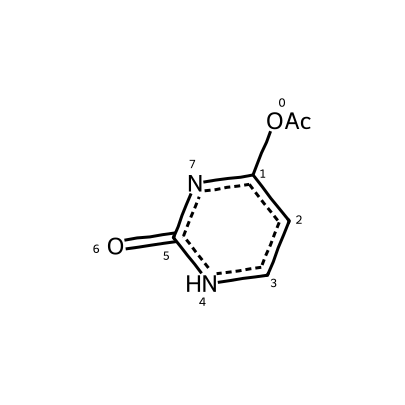 CC(=O)Oc1cc[nH]c(=O)n1